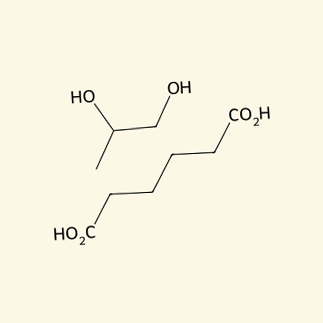 CC(O)CO.O=C(O)CCCCC(=O)O